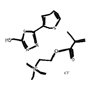 C=C(C)C(=O)OCC[N+](C)(C)C.Sc1nnc(-c2cccs2)s1.[Cl-]